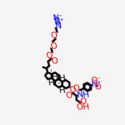 CC(CCC(=O)OCCOCCOCCN=[N+]=[N-])C1CC[C@H]2[C@@H]3CC[C@@H]4C[C@H](OC(=O)C(CC(=O)O)NC(=O)c5ccc([N+](=O)[O-])cc5)CC[C@]4(C)[C@H]3CC[C@]12C